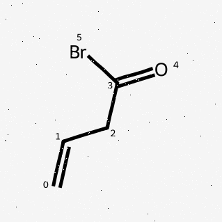 C=CCC(=O)Br